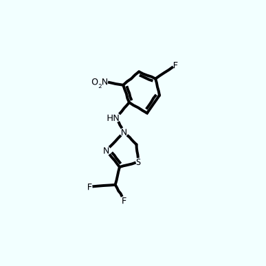 O=[N+]([O-])c1cc(F)ccc1NN1CSC(C(F)F)=N1